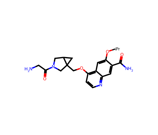 CC(C)Oc1cc2c(OCC34CC3CN(C(=O)CN)C4)ccnc2cc1C(N)=O